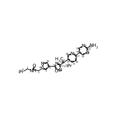 CC(C)CNC(=O)Cn1cc(-c2nc([C@@](C)(c3ccc(-c4cnc(N)nc4)nc3)C(C)C)no2)cn1